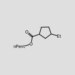 [CH2]CC1C[CH]C(C(=O)OCCCCC)C1